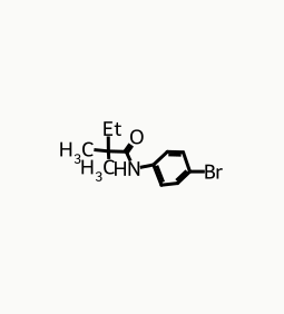 CCC(C)(C)C(=O)Nc1ccc(Br)cc1